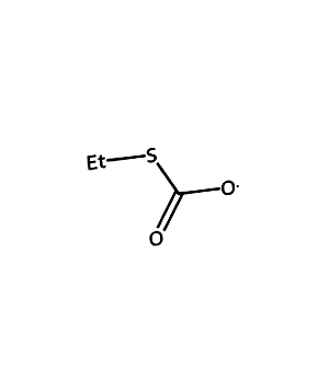 CCSC([O])=O